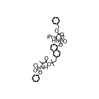 CC(C)[C@H](NP(=O)(Cl)Oc1cccc2cc(CC(C)(C)OC(=O)[C@H](C)NP(=O)(Cl)Oc3ccccc3)ccc12)C(=O)OCc1ccccc1